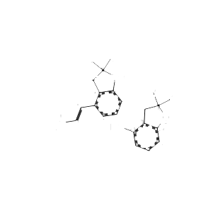 CC1(C)Cc2c(C=CC(=O)O)cccc2O1.CC1(C)Cc2c(C=O)cccc2O1